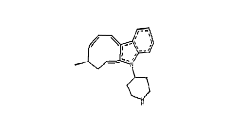 C[C@H]1\C=C/C=c2\c(n(C3CCNCC3)c3ccccc23)=C\C1